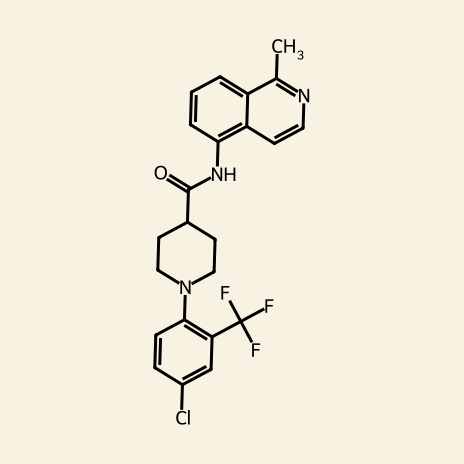 Cc1nccc2c(NC(=O)C3CCN(c4ccc(Cl)cc4C(F)(F)F)CC3)cccc12